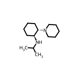 CC(C)N[C@H]1CCCC[C@@H]1N1CCCCC1